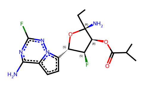 CC[C@@]1(N)O[C@@H](c2ccc3c(N)nc(F)nn23)[C@H](F)[C@@H]1OC(=O)C(C)C